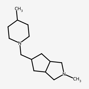 CC1CCN(CC2CC3CN(C)CC3C2)CC1